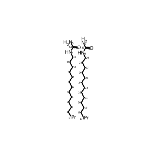 CC(C)CCCCCCCCCCCCNC(N)=O.CC(C)CCCCCCCCCCCCNC(N)=O